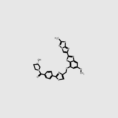 COc1cc(OCc2csc(-c3ccc(C(=O)N4CC[C@H](O)C4)cc3)n2)c2sc(-c3cn4nc(C)sc4n3)nc2c1